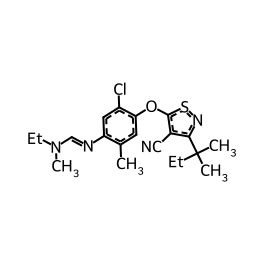 CCN(C)C=Nc1cc(Cl)c(Oc2snc(C(C)(C)CC)c2C#N)cc1C